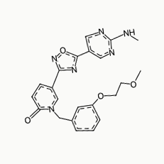 CNc1ncc(-c2nc(-c3ccc(=O)n(Cc4cccc(OCCOC)c4)c3)no2)cn1